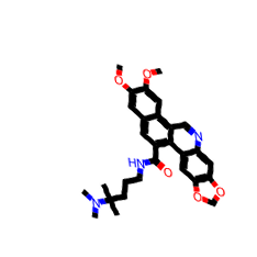 COc1cc2cc(C(=O)NCCCC(C)(C)N(C)C)c3c4cc5c(cc4ncc3c2cc1OC)OCO5